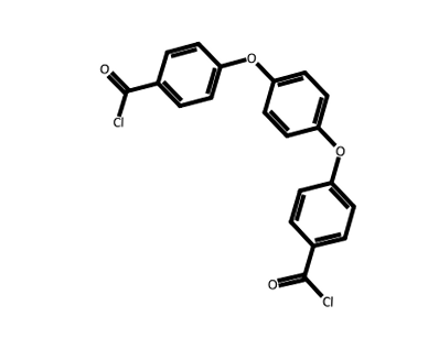 O=C(Cl)c1ccc(Oc2ccc(Oc3ccc(C(=O)Cl)cc3)cc2)cc1